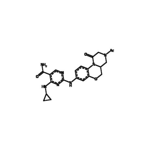 CC(=O)N1CC(=O)N2c3ccc(Nc4ncc(C(N)=O)c(NC5CC5)n4)cc3OCC2C1